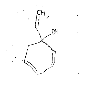 C=CC1(O)C=CC=CC1